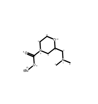 CN(C)CC1CN(C(=O)OC(C)(C)C)CCO1